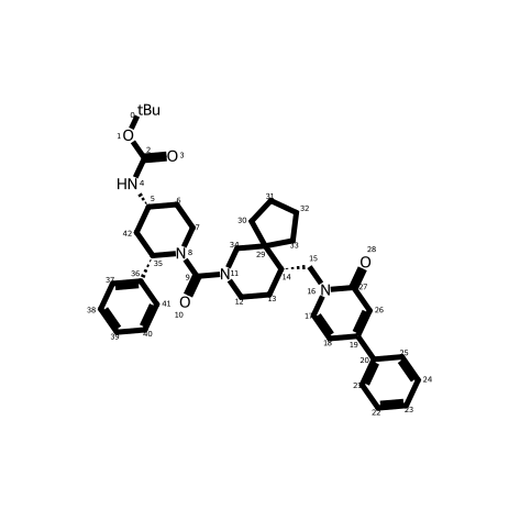 CC(C)(C)OC(=O)N[C@@H]1CCN(C(=O)N2CC[C@@H](Cn3ccc(-c4ccccc4)cc3=O)C3(CCCC3)C2)[C@H](c2ccccc2)C1